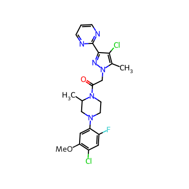 COc1cc(N2CCN(C(=O)Cn3nc(-c4ncccn4)c(Cl)c3C)C(C)C2)c(F)cc1Cl